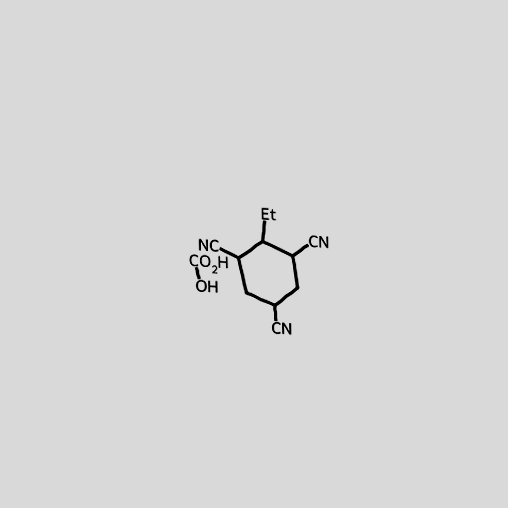 CCC1C(C#N)CC(C#N)CC1C#N.O=C(O)O